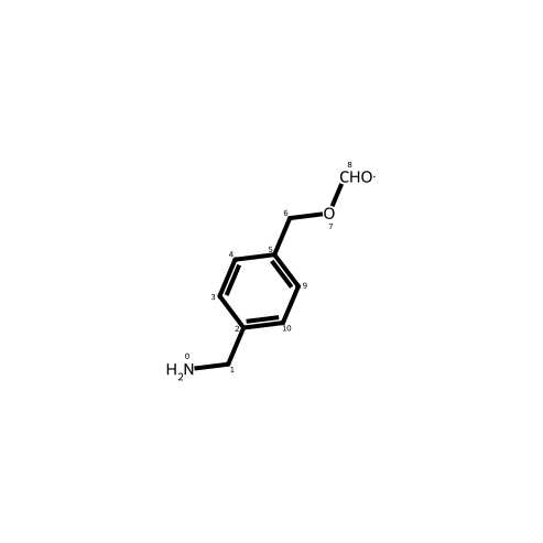 NCc1ccc(CO[C]=O)cc1